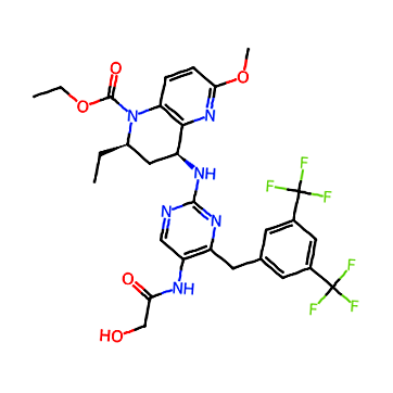 CCOC(=O)N1c2ccc(OC)nc2[C@@H](Nc2ncc(NC(=O)CO)c(Cc3cc(C(F)(F)F)cc(C(F)(F)F)c3)n2)C[C@H]1CC